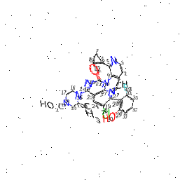 Cc1ccnc(C2CC2)c1-n1c(=O)nc(N2CCN(C(=O)O)CC2C)c2cc(Cl)c(-c3c(O)cccc3F)nc21